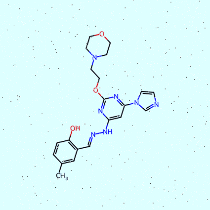 Cc1ccc(O)c(/C=N/Nc2cc(-n3ccnc3)nc(OCCN3CCOCC3)n2)c1